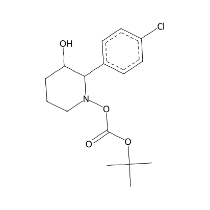 CC(C)(C)OC(=O)ON1CCCC(O)C1c1ccc(Cl)cc1